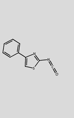 O=C=Nc1nc(-c2ccccc2)cs1